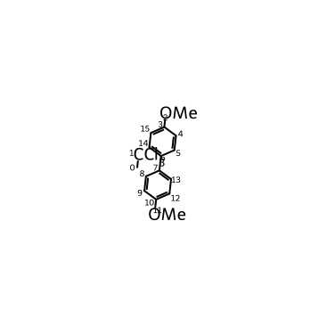 CC(Cl)(Cl)Cl.COc1ccc(-c2ccc(OC)cc2)cc1